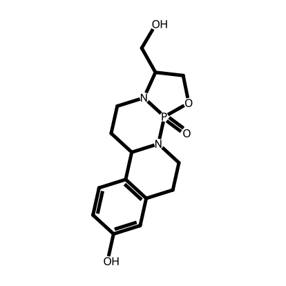 O=P12OCC(CO)N1CCC1c3ccc(O)cc3CCN12